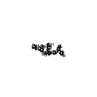 N=C1C([N+](=O)[O-])=CC([S+]([O-])NC(=O)c2ccc(N3CCN(CC4=C(c5ccc(Cl)cc5)CC5(CCC5)CC4)CC3)cc2Oc2cnc3[nH]ccc3c2)=C/C1=C/NCC1CCOCC1